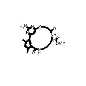 COC(=O)[C@@H]1CCCNC(=O)c2cc(c(C)cc2C)-c2cc(nc(N)n2)SCCC(=O)N1